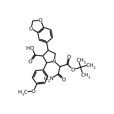 COc1ccc(C2C(C(=O)O)C(c3ccc4c(c3)OCO4)CN2C(C(N)=O)C(=O)OC(C)(C)C)cc1